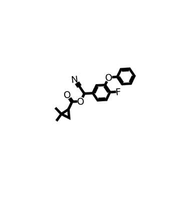 CC1(C)CC1C(=O)OC(C#N)c1ccc(F)c(Oc2ccccc2)c1